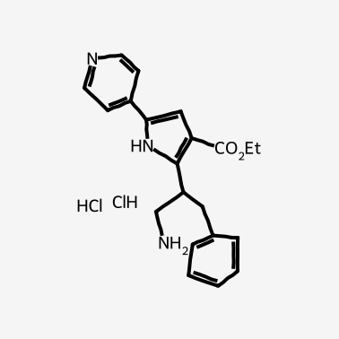 CCOC(=O)c1cc(-c2ccncc2)[nH]c1C(CN)Cc1ccccc1.Cl.Cl